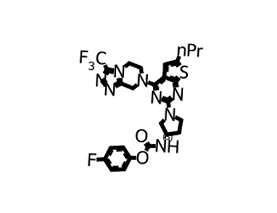 CCCc1cc2c(N3CCn4c(nnc4C(F)(F)F)C3)nc(N3CC[C@H](NC(=O)Oc4ccc(F)cc4)C3)nc2s1